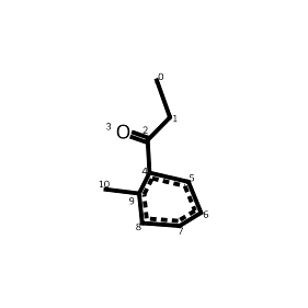 [CH2]CC(=O)c1ccccc1C